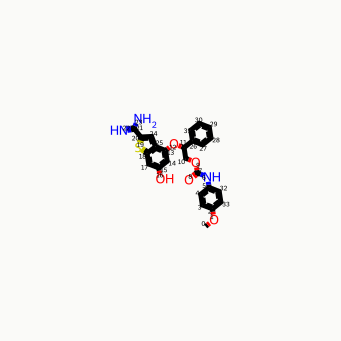 COc1ccc(NC(=O)OCC(Oc2cc(O)cc3sc(C(=N)N)cc23)c2ccccc2)cc1